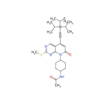 CSc1ncc2c(C#C[Si](C(C)C)(C(C)C)C(C)C)cc(=O)n(C3CCC(NC(C)=O)CC3)c2n1